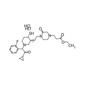 CCOC(=O)CCN1CCN(C/C=C2/CN(C(C(=O)C3CC3)c3ccccc3F)CCC2S)C(=O)C1.Cl.Cl